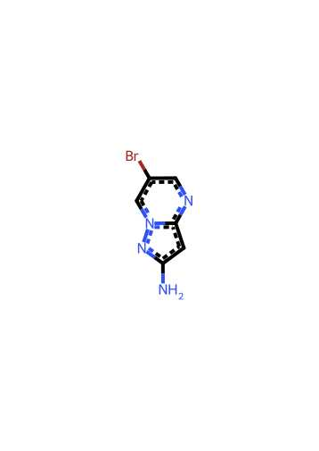 Nc1cc2ncc(Br)cn2n1